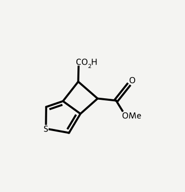 COC(=O)C1c2cscc2C1C(=O)O